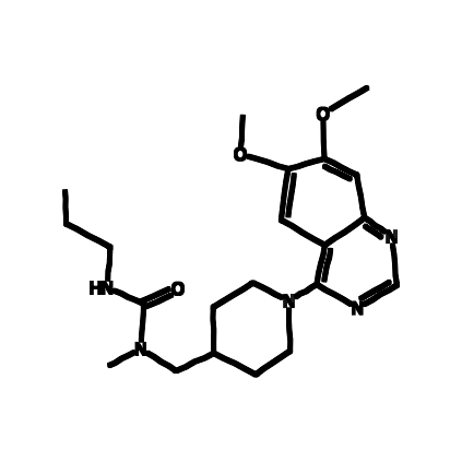 CCCNC(=O)N(C)CC1CCN(c2ncnc3cc(OC)c(OC)cc23)CC1